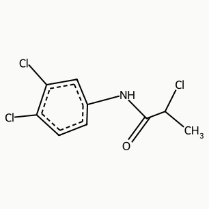 CC(Cl)C(=O)Nc1ccc(Cl)c(Cl)c1